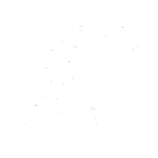 CC(=O)N1CC(Cc2c(Oc3ccc(C(F)(F)F)cc3)ccc3c2CN(C(=O)CCS(C)(=O)=O)CC3)C1